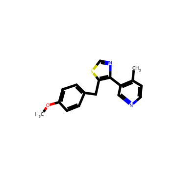 COc1ccc(Cc2s[c]nc2-c2cnccc2C)cc1